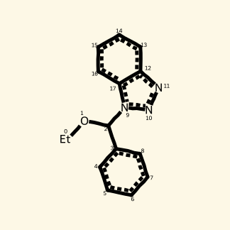 CCOC(c1ccccc1)n1nnc2ccccc21